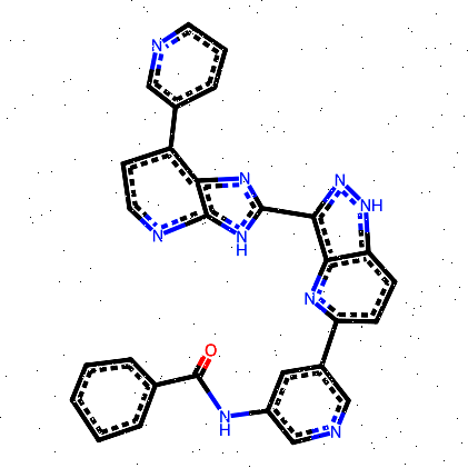 O=C(Nc1cncc(-c2ccc3[nH]nc(-c4nc5c(-c6cccnc6)ccnc5[nH]4)c3n2)c1)c1ccccc1